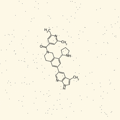 Cc1cc(C(=O)N2CCc3cc(-c4cnc5[nH]cc(C)c5c4)cc(C4CCCN4)c3C2)cc(C)n1